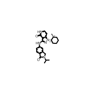 CC(C)N1Cc2cc(Nc3nn([C@H]4CCCC[C@@H]4C)c4cc[nH]c(=O)c34)ccc2C1=O